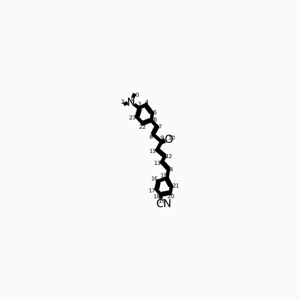 CN(C)c1ccc(C=CC(=O)C=CC=Cc2ccc(C#N)cc2)cc1